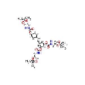 CC1(C)OCC(CNC(=O)Oc2ccc(/C=C/c3cc(OC(=O)NCC4COC(C)(C)O4)cc(OC(=O)NCC4COC(C)(C)O4)c3)cc2)O1